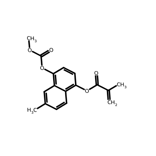 C=C(C)C(=O)Oc1ccc(OC(=O)OC)c2cc(C)ccc12